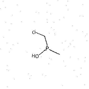 CP(O)CCl